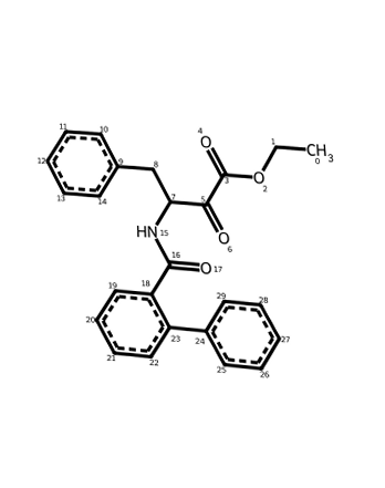 CCOC(=O)C(=O)C(Cc1ccccc1)NC(=O)c1ccccc1-c1ccccc1